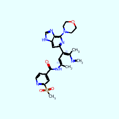 C=N/C(C)=C(\C=C(/C)NC(=O)c1ccnc(S(C)(=O)=O)c1)c1cc2[nH]cnc2c(N2CCOCC2)n1